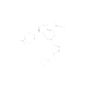 NC(=O)c1cc(-c2ccc(SN3CCC3)s2)cc2c(C3CCS(=O)(=O)CC3)c[nH]c12